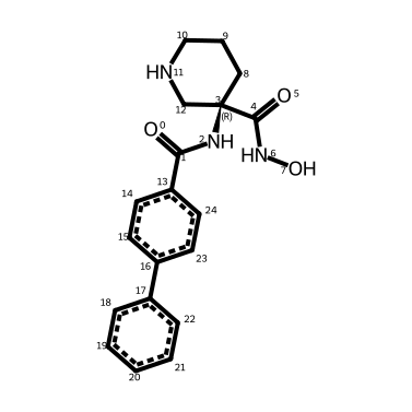 O=C(N[C@]1(C(=O)NO)CCCNC1)c1ccc(-c2ccccc2)cc1